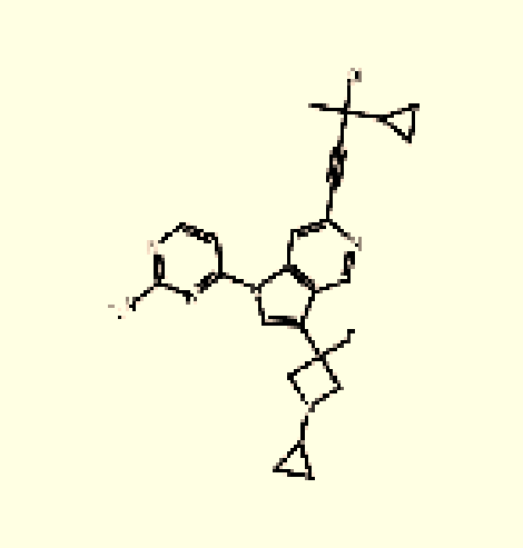 CC(O)(C#Cc1cc2c(cn1)c(C1(F)CN(C3CC3)C1)cn2-c1ccnc(N)n1)C1CC1